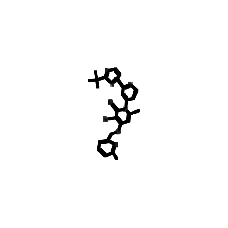 Cc1cccc(COc2cc(C)n(-c3ccnc(-c4ccnc(C(C)(C)C)n4)c3)c(=O)c2Br)n1